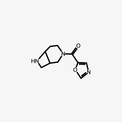 O=C(c1cnco1)N1CCC2NCC2C1